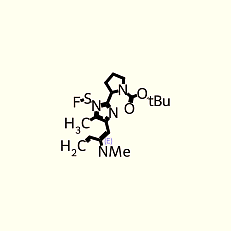 C=C/C(=C\c1nc(C2CCCN2C(=O)OC(C)(C)C)n(SF)c1C)NC